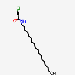 CCCCCCCCCCCCCCCCCCNC(=O)C#CCl